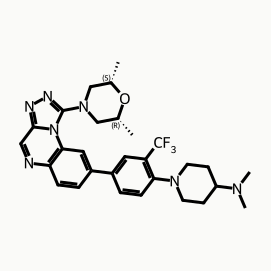 C[C@@H]1CN(c2nnc3cnc4ccc(-c5ccc(N6CCC(N(C)C)CC6)c(C(F)(F)F)c5)cc4n23)C[C@H](C)O1